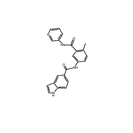 Cc1ccc(NC(=O)c2ccc3[nH]ccc3c2)cc1C(=O)Nc1cccnc1